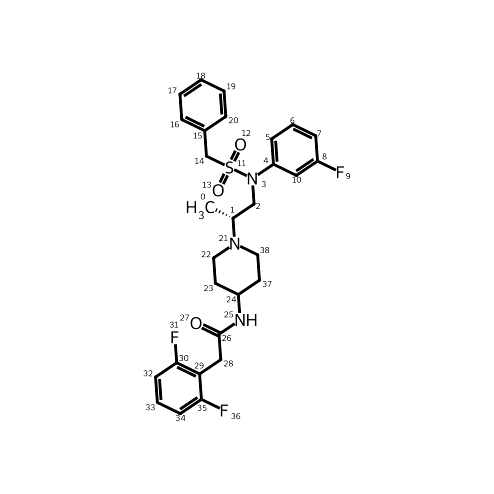 C[C@H](CN(c1cccc(F)c1)S(=O)(=O)Cc1ccccc1)N1CCC(NC(=O)Cc2c(F)cccc2F)CC1